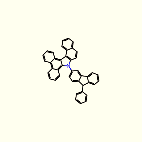 c1ccc(C2c3ccccc3-c3cc(-n4c5ccc6ccccc6c5c5c6ccccc6c6ccccc6c54)ccc32)cc1